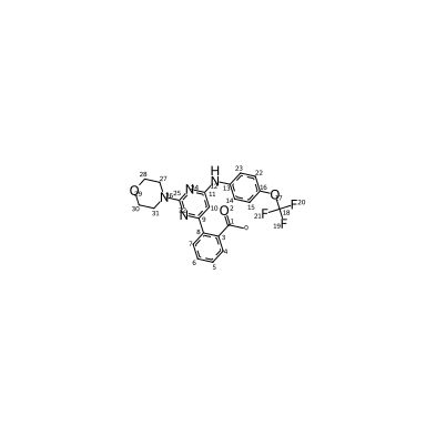 CC(=O)c1ccccc1-c1cc(Nc2ccc(OC(F)(F)F)cc2)nc(N2CCOCC2)n1